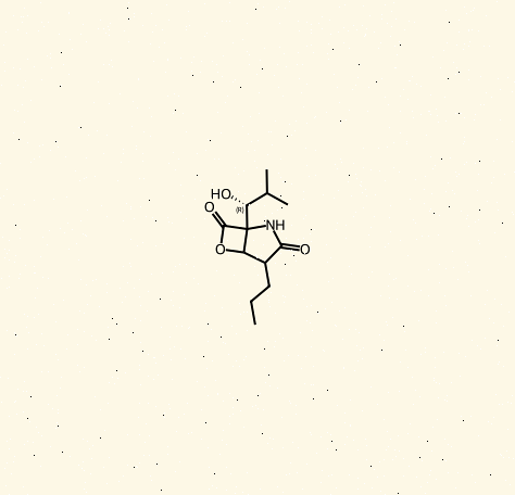 CCCC1C(=O)NC2([C@H](O)C(C)C)C(=O)OC12